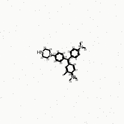 CC1=C/C(=C(/c2ccc(N(C)C)cc2)c2ccc(N3CCNCC3)cc2)C=CC1=[N+](C)C